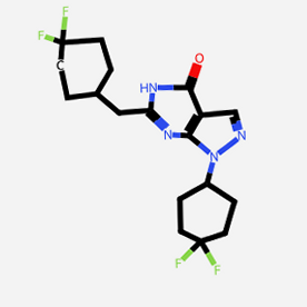 O=c1[nH]c(CC2CCC(F)(F)CC2)nc2c1cnn2C1CCC(F)(F)CC1